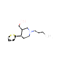 CCCCN1CCC(c2cccs2)C(CO)C1